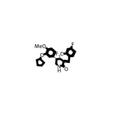 COc1ccc([C@H]2CNC(=O)/C(=C/c3ccc(F)cc3C(F)(F)F)C2)cc1OC1CCCC1